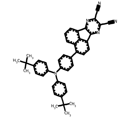 CC(C)(C)c1ccc(N(c2ccc(-c3ccc4c5c(cccc35)-c3nc(C#N)c(C#N)nc3-4)cc2)c2ccc(C(C)(C)C)cc2)cc1